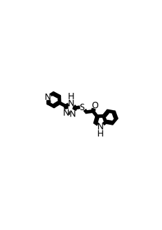 O=C(CSc1nnc(-c2ccncc2)[nH]1)c1c[nH]c2ccccc12